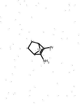 CC(C)C1=C(N)C2CCC1O2